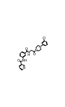 O=C(NCC(=O)N1CCN(c2cccc(Cl)c2)CC1)c1cccc(NC(=O)c2cccnc2)c1